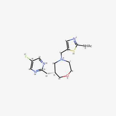 CC(=O)Nc1ncc(CN2CCOC[C@H](Cc3ncc(F)cn3)C2)s1